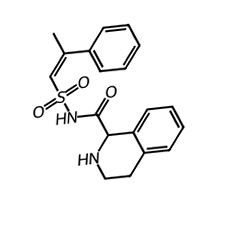 CC(=CS(=O)(=O)NC(=O)C1NCCc2ccccc21)c1ccccc1